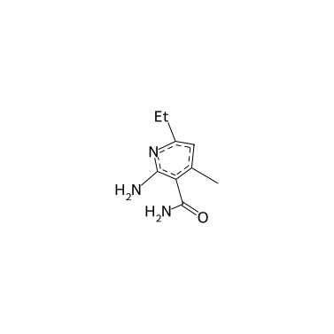 CCc1cc(C)c(C(N)=O)c(N)n1